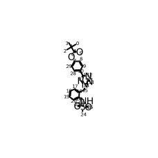 CC(C)(C)C(=O)Oc1ccc(-c2nnn(Cc3ccccc3NS(C)(=O)=O)n2)cc1